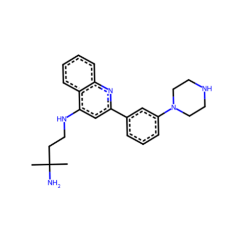 CC(C)(N)CCNc1cc(-c2cccc(N3CCNCC3)c2)nc2ccccc12